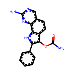 NC(=O)Oc1c(-c2ccccc2)[nH]c2c1ccc1cnc(N)nc12